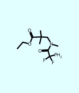 CCOC(=O)C(C)(C)CN(C)C(=O)C(F)(F)P